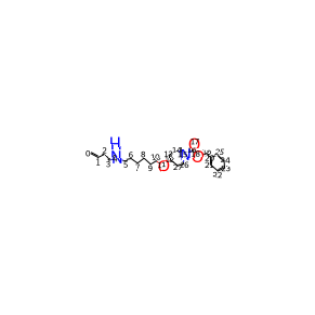 C=CCCNCCCCCCOC1CCN(C(=O)OCc2ccccc2)CC1